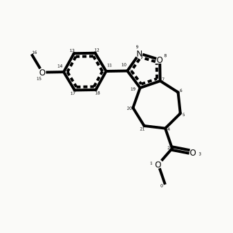 COC(=O)C1CCc2onc(-c3ccc(OC)cc3)c2CC1